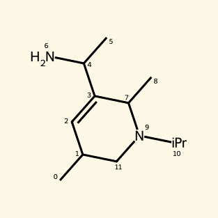 CC1C=C(C(C)N)C(C)N(C(C)C)C1